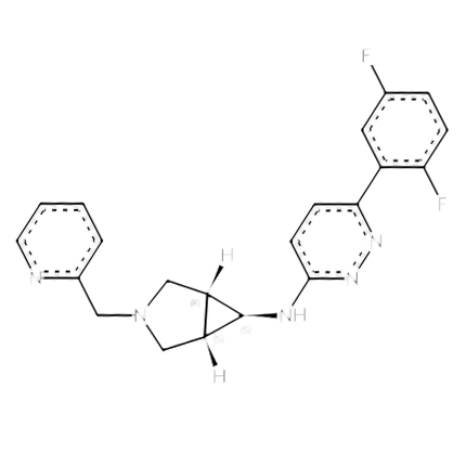 Fc1ccc(F)c(-c2ccc(N[C@H]3[C@@H]4CN(Cc5ccccn5)C[C@@H]43)nn2)c1